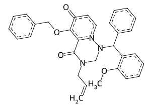 C=CCN1CN(C(c2ccccc2)c2ccccc2OC)n2ccc(=O)c(OCc3ccccc3)c2C1=O